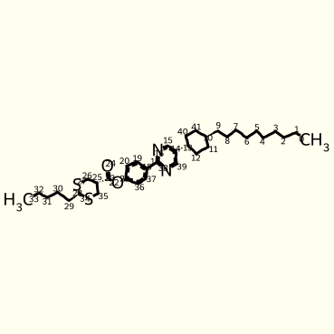 CCCCCCCCCC[C@H]1CC[C@H](c2cnc(-c3ccc(OC(=O)[C@H]4CS[C@H](CCCCC)SC4)cc3)nc2)CC1